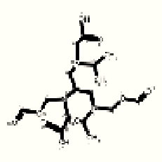 CC(C)N(COC=O)CC(CN(CC(=O)O)C(C)C)N(COC=O)CC(=O)O